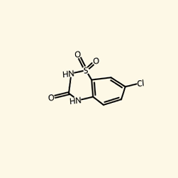 O=C1Nc2ccc(Cl)cc2S(=O)(=O)N1